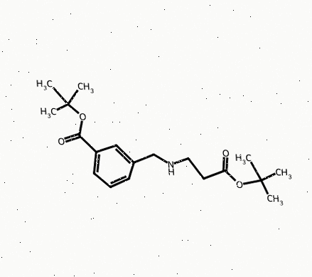 CC(C)(C)OC(=O)CCNCc1cccc(C(=O)OC(C)(C)C)c1